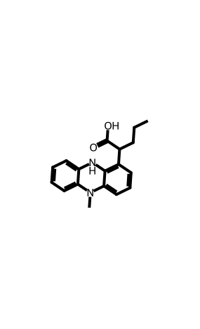 CCCC(C(=O)O)c1cccc2c1Nc1ccccc1N2C